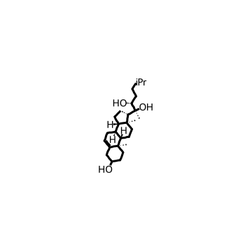 CC(C)CC[C@@H](O)[C@@](C)(O)[C@H]1CC[C@H]2[C@@H]3CC=C4CC(O)CC[C@]4(C)[C@H]3CC[C@]12C